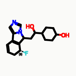 OC1CCC(C(O)CC2C3=C(C=CC[C@H]3F)c3cncn32)CC1